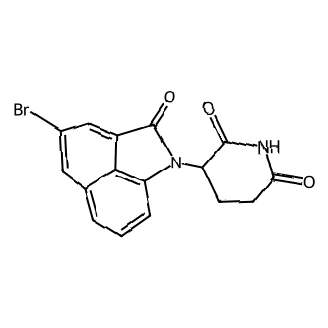 O=C1CCC(N2C(=O)c3cc(Br)cc4cccc2c34)C(=O)N1